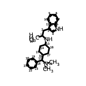 CC(Cc1c[nH]c2ccccc12)NC1CCC(C(c2ccccc2)N(C)C)CC1.Cl